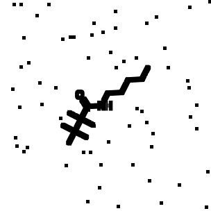 CCCCCNC(=O)C(C)(C)C(C)(C)C